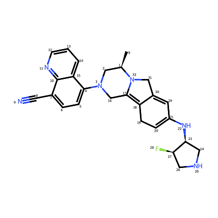 C[C@@H]1CN(c2ccc(C#N)c3ncccc23)CC2=C3CC=C(N[C@H]4CNC[C@H]4F)C=C3CN21